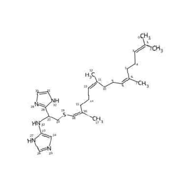 CC(C)=CCCC(C)=CCCC(C)=CCCC(C)=CSCC(Nc1cnc[nH]1)c1ncc[nH]1